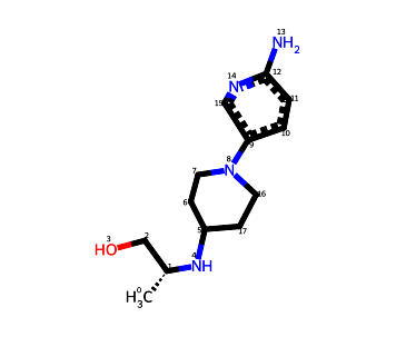 C[C@H](CO)NC1CCN(c2ccc(N)nc2)CC1